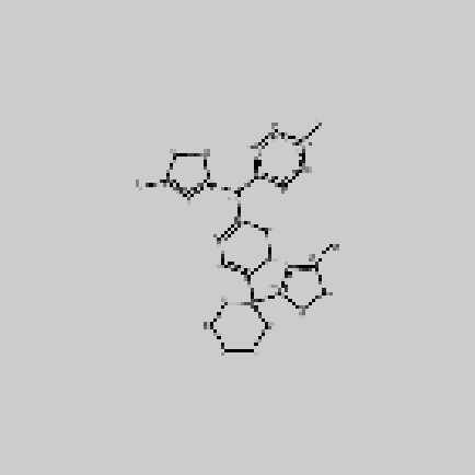 CC1=C=C(N(C2=CC=C(C3(C4=C=C(C)CC4)CCCCC3)CC2)c2ccc(C)cc2)CC1